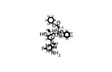 C#C[C@]1(CO[P@@](=O)(N[C@@H](C)C(=O)OC2CCCCC2)Oc2ccccc2)O[C@@H](n2cnc3c(N)nc(F)nc32)C[C@@H]1O